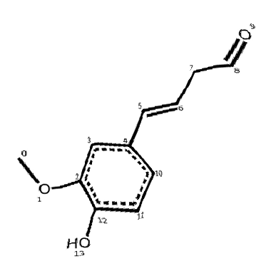 COc1cc(C=CCC=O)ccc1O